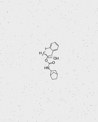 C[C@H](OC(=O)NC1CC2CCC1C2)[C@@H](O)c1ccccc1I